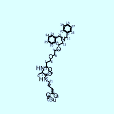 CC(NC(=O)CCOCCOCCN(Cc1ccccc1)Cc1ccccc1)C(=O)NCCCC(=O)OC(C)(C)C